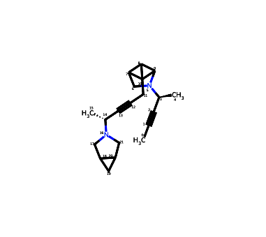 CC#C[C@H](C)N1CC2C3C1C23CC#C[C@@H](C)N1CC2CC2C1